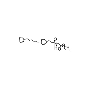 COC(=O)CNC(=O)CCc1ccc(CCCCCCc2ccccc2)cc1